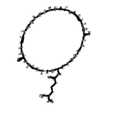 CN(C)CCCC(=O)OC1CCCCCCCC(=O)OC/C=C\CCCCCCCCCCCC/C=C\COC(=O)CCCCCCC1